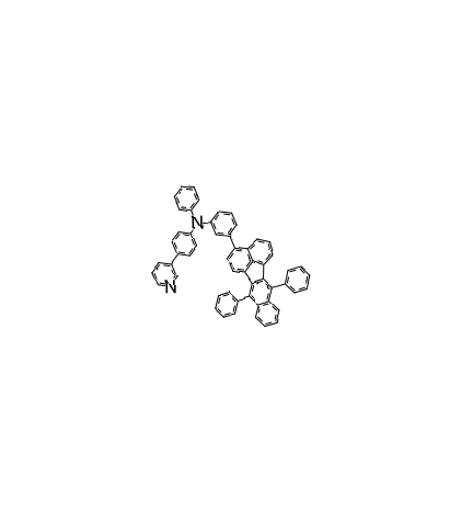 c1ccc(-c2c3c(c(-c4ccccc4)c4ccccc24)-c2ccc(-c4cccc(N(c5ccccc5)c5ccc(-c6cccnc6)cc5)c4)c4cccc-3c24)cc1